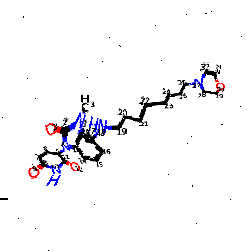 Cn1c(=O)n(C2CCC(=O)NC2=O)c2cccc(NCCCCCCCCN3CCOCC3)c21